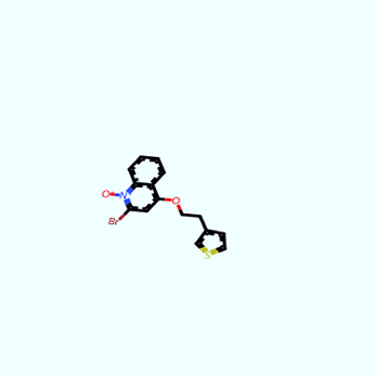 [O-][n+]1c(Br)cc(OCCc2ccsc2)c2ccccc21